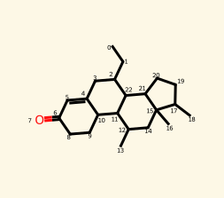 CCC1CC2=CC(=O)CCC2C2C(C)CC3(C)C(C)CCC3C12